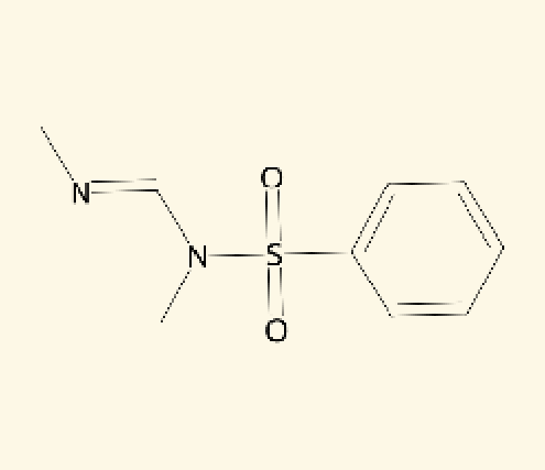 C/N=C/N(C)S(=O)(=O)c1ccccc1